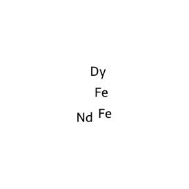 [Dy].[Fe].[Fe].[Nd]